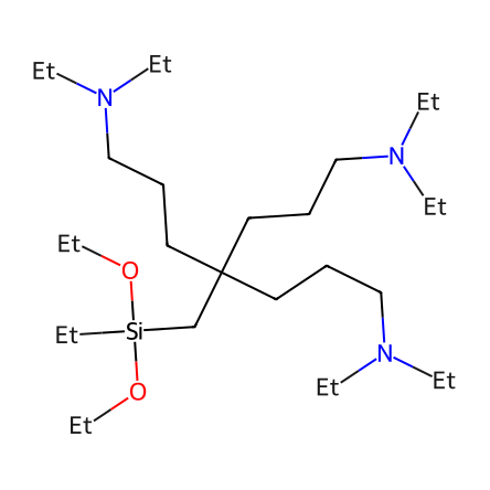 CCO[Si](CC)(CC(CCCN(CC)CC)(CCCN(CC)CC)CCCN(CC)CC)OCC